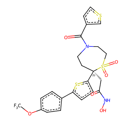 O=C(C[C@]1(c2ccc(-c3ccc(OC(F)(F)F)cc3)s2)CCN(C(=O)c2ccsc2)CCS1(=O)=O)NO